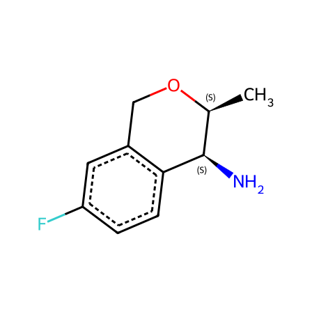 C[C@@H]1OCc2cc(F)ccc2[C@@H]1N